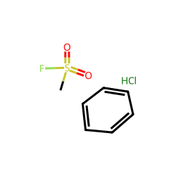 CS(=O)(=O)F.Cl.c1ccccc1